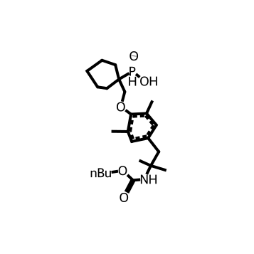 CCCCOC(=O)NC(C)(C)Cc1cc(C)c(OCC2([PH](=O)O)CCCCC2)c(C)c1